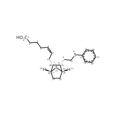 O=C(O)CCC/C=C\C[C@@H]1[C@H](CCSc2ccccc2)[C@@H]2CC[C@H]1S2